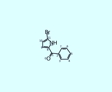 O=C(c1ccccc1)c1ccc(Br)[nH]1